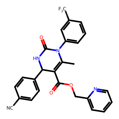 CC1=C(C(=O)OCc2ccccn2)C(c2ccc(C#N)cc2)NC(=O)N1c1cccc(C(F)(F)F)c1